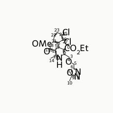 CCOC(=O)C1=C(COCc2nnc(C)o2)NC(C)=C(C(=O)OC)C1c1cccc(Cl)c1Cl